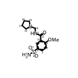 COc1ccc(S(N)(=O)=O)cc1C(=O)NCN1CCCC1